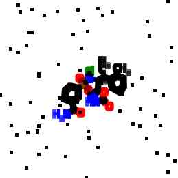 Cc1ccccc1[C@@H](C)[C@@H](c1n[nH]c(=O)o1)N(Cl)S(=O)(=O)c1cccc(C(N)=O)c1